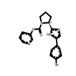 O=C(Oc1cccnc1)N1CCC[C@H]1c1ncc(-c2ccc(Br)cc2)[nH]1